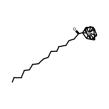 CCCCCCCCCCCCCCCC(=O)[C]12[CH]3[CH]4[CH]5[CH]1[Fe]45321678[CH]2[CH]1[CH]6[CH]7[CH]28